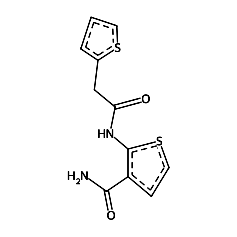 NC(=O)c1ccsc1NC(=O)Cc1cccs1